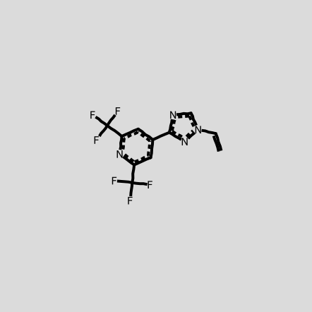 C=Cn1cnc(-c2cc(C(F)(F)F)nc(C(F)(F)F)c2)n1